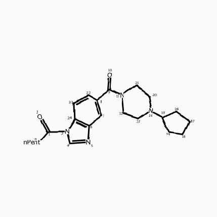 CCCCCC(=O)n1cnc2cc(C(=O)N3CCN(C4CCCC4)CC3)ccc21